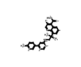 COC(=O)c1c(F)cnc2c(C(C)(C)CNc3cc(-c4ccc(C)nc4)ncn3)cccc12